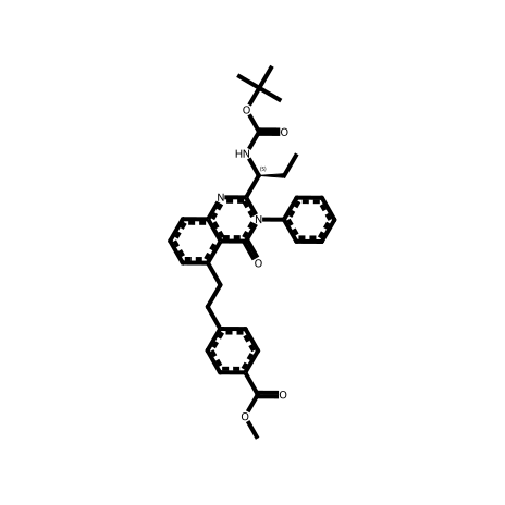 CC[C@H](NC(=O)OC(C)(C)C)c1nc2cccc(CCc3ccc(C(=O)OC)cc3)c2c(=O)n1-c1ccccc1